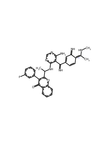 CN/C(C)=C1/C=CC(C(=N)c2c(N)ncnc2NC(C)c2oc3ccccc3c(=O)c2-c2cccc(F)c2)=CC1=N